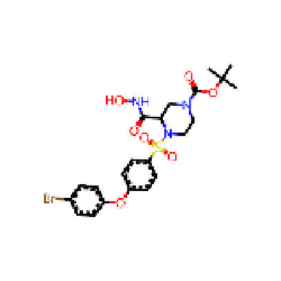 CC(C)(C)OC(=O)N1CCN(S(=O)(=O)c2ccc(Oc3ccc(Br)cc3)cc2)C(C(=O)NO)C1